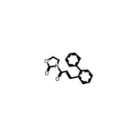 O=C(C=Cc1ccccc1-c1ccccc1)N1CCOC1=O